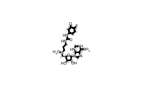 CN(CCCNC(=O)Nc1ccc(F)c(Cl)c1)C[C@H]1O[C@@H](N2C=NC3C(N)NCNC32)[C@H](O)[C@@H]1O